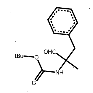 CC(C=O)(Cc1ccccc1)NC(=O)OC(C)(C)C